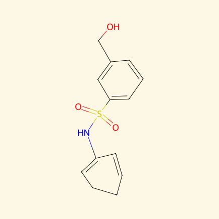 O=S(=O)(NC1=CCCC=C1)c1cccc(CO)c1